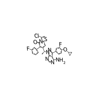 C[C@@H](c1cc2scc(Cl)n2c(=O)c1-c1cccc(F)c1)n1nc(-c2ccc(OC3CC3)c(F)c2)c2c(N)ncnc21